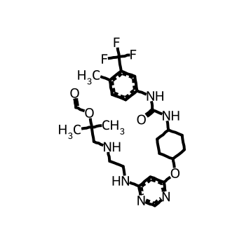 Cc1ccc(NC(=O)NC2CCC(Oc3cc(NCCNCC(C)(C)OC=O)ncn3)CC2)cc1C(F)(F)F